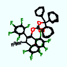 CCCCCC(C(=C(OB(O)OC(c1ccccc1)(c1ccccc1)c1ccccc1)c1c(F)c(F)c(F)c(F)c1F)c1c(F)c(F)c(F)c(F)c1F)c1c(F)c(F)c(F)c(F)c1F